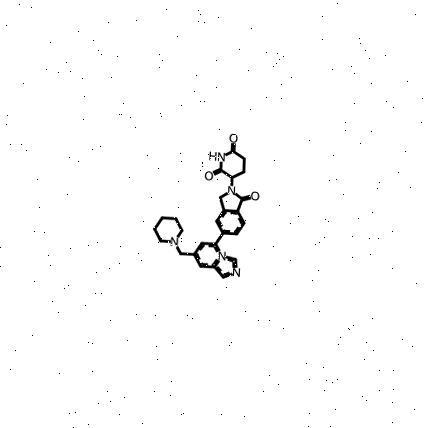 O=C1CCC(N2Cc3cc(-c4cc(CN5CCCCC5)cc5cncn45)ccc3C2=O)C(=O)N1